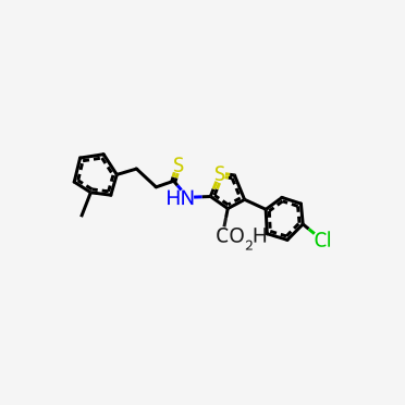 Cc1cccc(CCC(=S)Nc2scc(-c3ccc(Cl)cc3)c2C(=O)O)c1